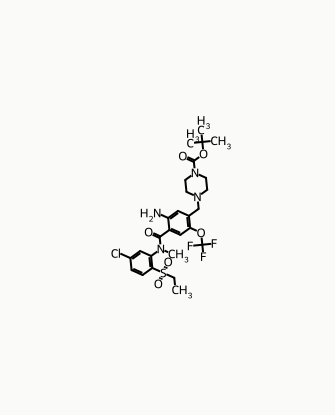 CCS(=O)(=O)c1ccc(Cl)cc1N(C)C(=O)c1cc(OC(F)(F)F)c(CN2CCN(C(=O)OC(C)(C)C)CC2)cc1N